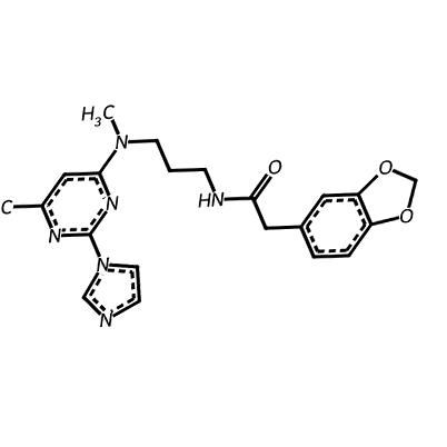 Cc1cc(N(C)CCCNC(=O)Cc2ccc3c(c2)OCO3)nc(-n2ccnc2)n1